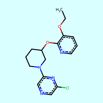 CCOc1cccnc1OC1CCCN(c2cncc(Cl)n2)C1